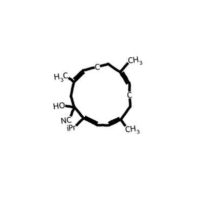 CC1=CC=C(C(C)C)C(O)(C#N)CC(C)=CCCC(C)=CCC1